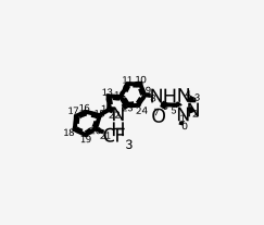 Cn1ncnc1C(=O)Nc1ccc2cc(-c3ccccc3C(F)(F)F)[nH]c2c1